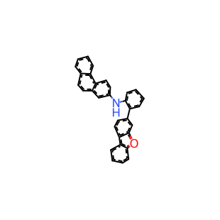 c1ccc(-c2ccc3c(c2)oc2ccccc23)c(Nc2ccc3c(ccc4ccccc43)c2)c1